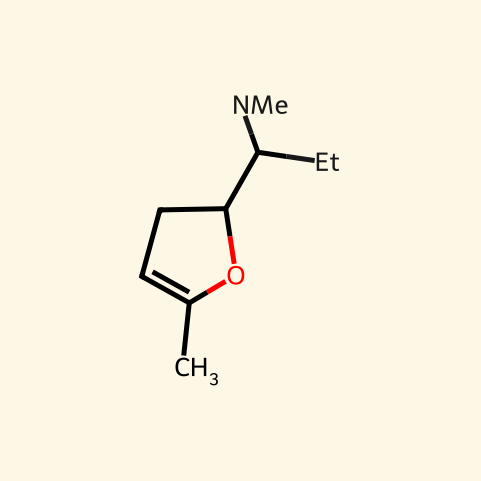 CCC(NC)C1CC=C(C)O1